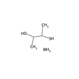 CC(O)C(C)S.[BiH3]